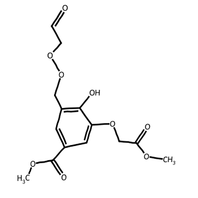 COC(=O)COc1cc(C(=O)OC)cc(COOCC=O)c1O